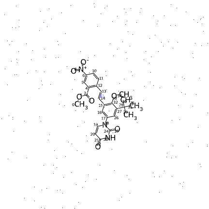 COC(=O)c1cc([N+](=O)[O-])ccc1/C=C/c1cc(-n2ccc(=O)[nH]c2=O)cc(C(C)(C)C)c1OC